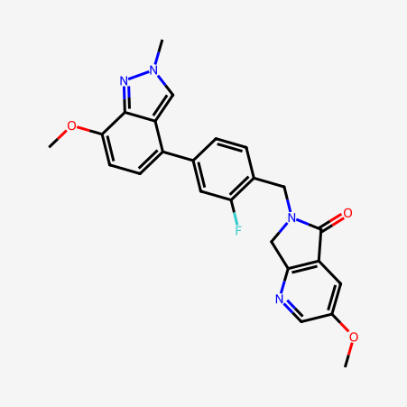 COc1cnc2c(c1)C(=O)N(Cc1ccc(-c3ccc(OC)c4nn(C)cc34)cc1F)C2